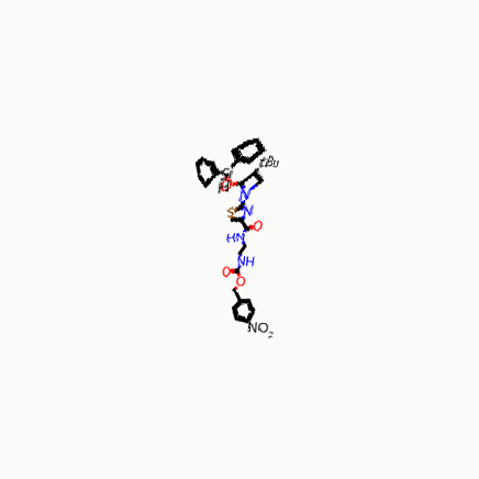 CC(C)(C)C1CN(c2nc(C(=O)NCCNC(=O)OCc3ccc([N+](=O)[O-])cc3)cs2)C1O[SiH](c1ccccc1)c1ccccc1